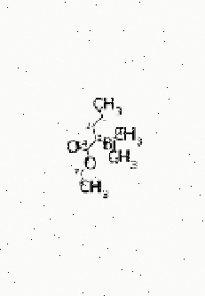 CCC[CH](C(=O)OCC)[Bi]([CH3])[CH3]